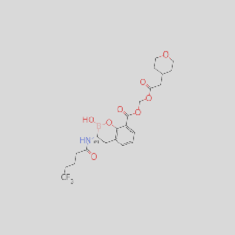 O=C(CCCC(F)(F)F)N[C@H]1Cc2cccc(C(=O)OCOC(=O)CC3CCOCC3)c2OB1O